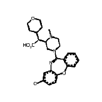 CN1CCN(C2=Nc3cc(Cl)ccc3Oc3ccccc32)CC1[C@@H](C(=O)O)C1CCOCC1